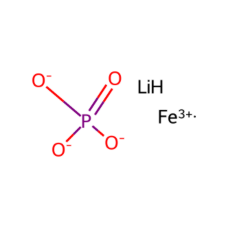 O=P([O-])([O-])[O-].[Fe+3].[LiH]